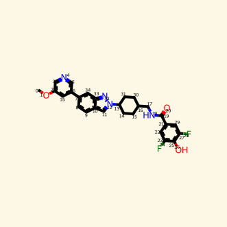 COc1cncc(-c2ccc3cn(C4CCC(CNC(=O)c5cc(F)c(O)c(F)c5)CC4)nc3c2)c1